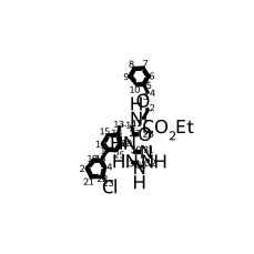 CCOC(=O)[C@H](COCc1ccccc1)N[C@@H](Cc1ccc(-c2cccc(Cl)c2)cc1)C(=O)NC1=NNNN1